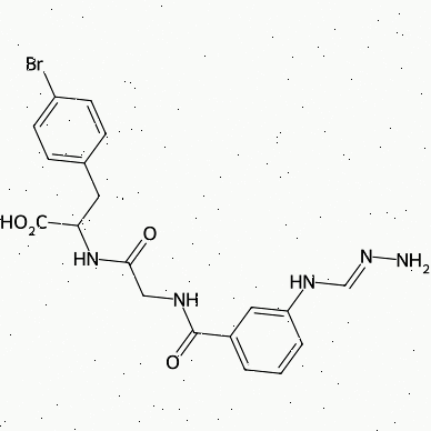 NN=CNc1cccc(C(=O)NCC(=O)NC(Cc2ccc(Br)cc2)C(=O)O)c1